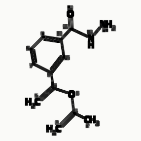 C=C(C)OC(=C)c1cccc(C(=O)NN)c1